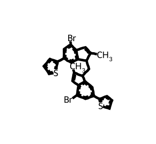 CC1=Cc2c(Br)cc(-c3cccs3)cc2C1CC1C(C)=Cc2c(Br)cc(-c3cccs3)cc21